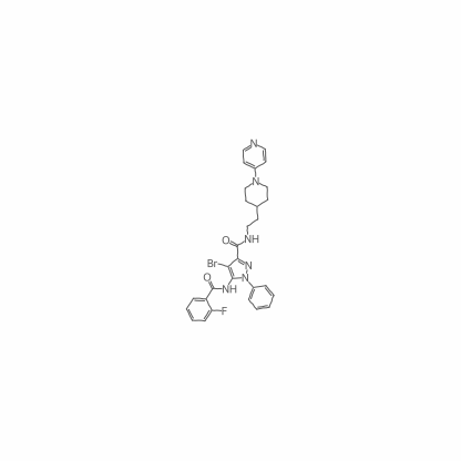 O=C(Nc1c(Br)c(C(=O)NCCC2CCN(c3ccncc3)CC2)nn1-c1ccccc1)c1ccccc1F